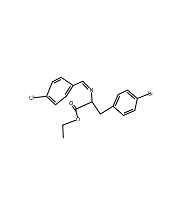 CCOC(=O)C(Cc1ccc(Br)cc1)/N=C\c1ccc(Cl)cc1